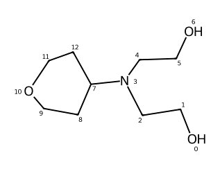 OCCN(CCO)C1CCOCC1